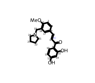 COc1ccc(/C=C/C(=O)c2ccc(O)cc2O)cc1CN1CCCC1